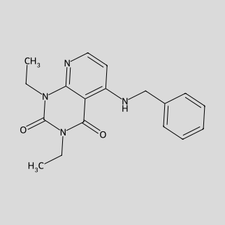 CCn1c(=O)c2c(NCc3ccccc3)ccnc2n(CC)c1=O